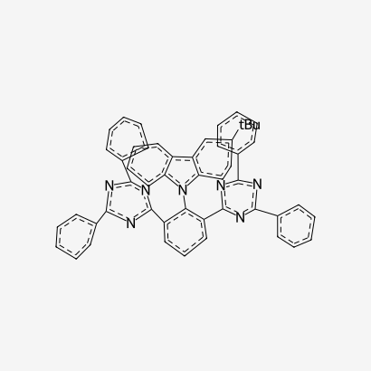 CC(C)(C)c1ccc2c(c1)c1ccccc1n2-c1c(-c2nc(-c3ccccc3)nc(-c3ccccc3)n2)cccc1-c1nc(-c2ccccc2)nc(-c2ccccc2)n1